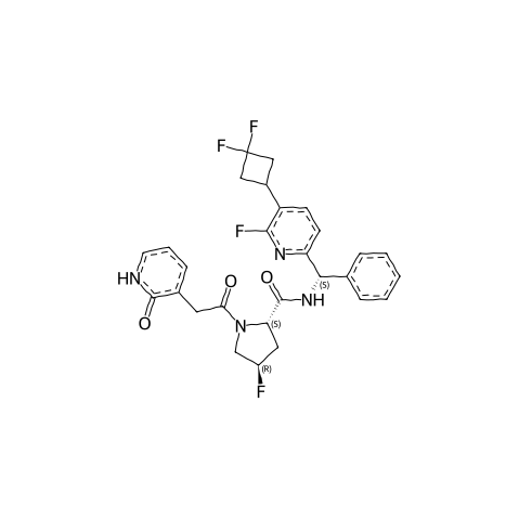 O=C(N[C@@H](c1ccccc1)c1ccc(C2CC(F)(F)C2)c(F)n1)[C@@H]1C[C@@H](F)CN1C(=O)Cc1ccc[nH]c1=O